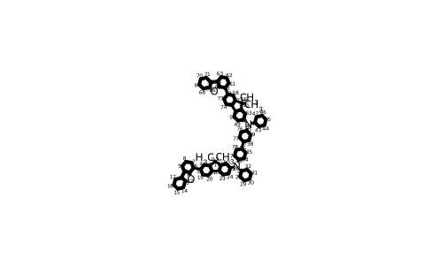 CC1(C)c2cc(-c3cccc4c3oc3ccccc34)ccc2-c2ccc(N(c3ccccc3)c3ccc(-c4ccc(N(c5ccccc5)c5ccc6c(c5)C(C)(C)c5cc(-c7cccc8c7oc7ccccc78)ccc5-6)cc4)cc3)cc21